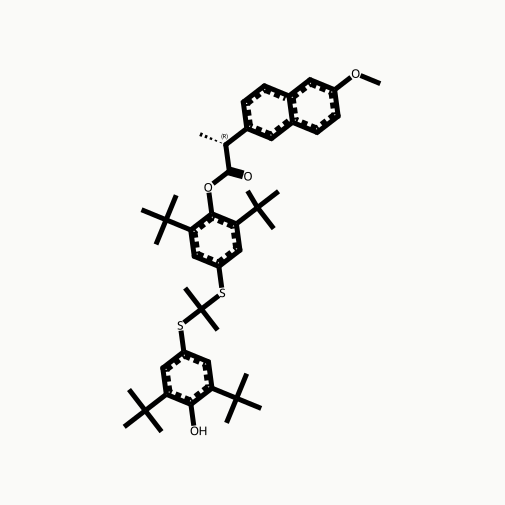 COc1ccc2cc([C@@H](C)C(=O)Oc3c(C(C)(C)C)cc(SC(C)(C)Sc4cc(C(C)(C)C)c(O)c(C(C)(C)C)c4)cc3C(C)(C)C)ccc2c1